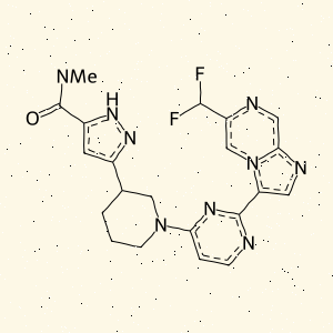 CNC(=O)c1cc(C2CCCN(c3ccnc(-c4cnc5cnc(C(F)F)cn45)n3)C2)n[nH]1